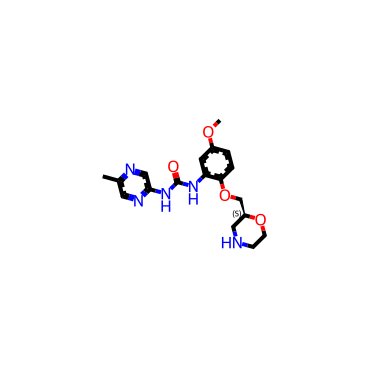 COc1ccc(OC[C@@H]2CNCCO2)c(NC(=O)Nc2cnc(C)cn2)c1